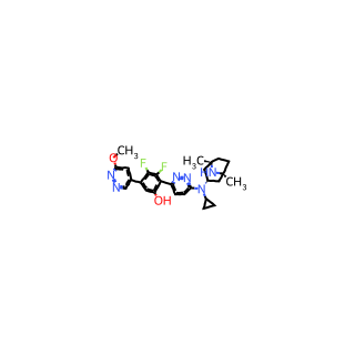 COc1cc(-c2cc(O)c(-c3ccc(N(C4CC4)[C@@H]4C[C@]5(C)CC[C@](C)(C4)N5)nn3)c(F)c2F)cnn1